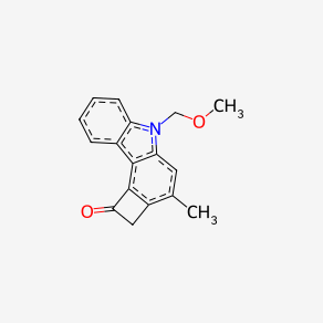 COCn1c2ccccc2c2c3c(c(C)cc21)CC3=O